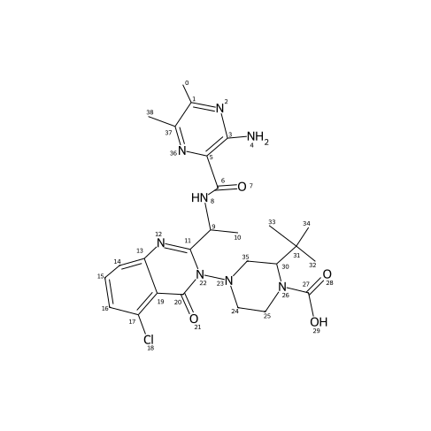 Cc1nc(N)c(C(=O)NC(C)c2nc3cccc(Cl)c3c(=O)n2N2CCN(C(=O)O)C(C(C)(C)C)C2)nc1C